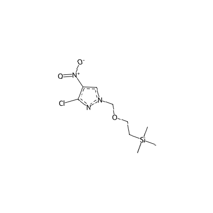 C[Si](C)(C)CCOCn1cc([N+](=O)[O-])c(Cl)n1